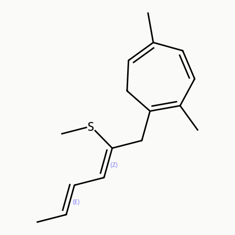 C/C=C/C=C(/CC1=C(C)C=CC(C)=CC1)SC